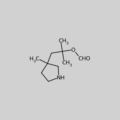 CC1(CC(C)(C)OC=O)CCNC1